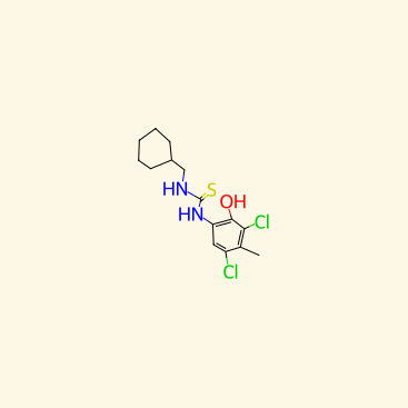 Cc1c(Cl)cc(NC(=S)NCC2CCCCC2)c(O)c1Cl